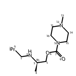 CC(C)CN[C@H](C)COC(=O)N1CCN(C)CC1